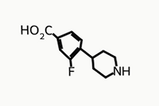 O=C(O)c1ccc(C2CCNCC2)c(F)c1